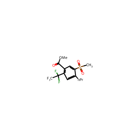 CCCc1cc(C(F)(F)C(F)(F)F)c(C(=O)OC)cc1S(C)(=O)=O